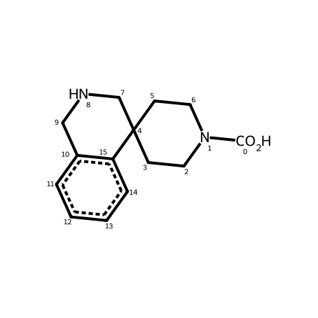 O=C(O)N1CCC2(CC1)CNCc1ccccc12